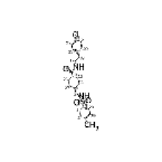 Cc1ccc(S(=O)(=O)NCC2CCC(C(=O)NCCc3ccc(Cl)cc3)CC2)cc1